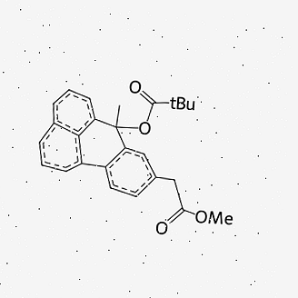 COC(=O)Cc1ccc2c(c1)C(C)(OC(=O)C(C)(C)C)c1cccc3cccc-2c13